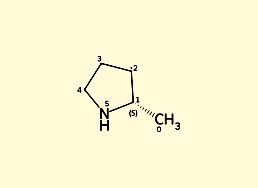 C[C@H]1[CH]CCN1